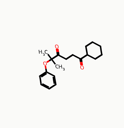 CC(C)(Oc1ccccc1)C(=O)CCC(=O)C1CCCCC1